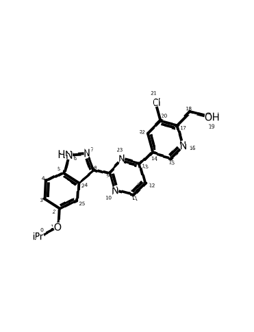 CC(C)Oc1ccc2[nH]nc(-c3nccc(-c4cnc(CO)c(Cl)c4)n3)c2c1